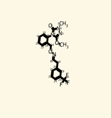 COc1nn(C)c(=O)n1-c1ccccc1CO/N=C/Cc1cccc(C(F)(F)F)c1